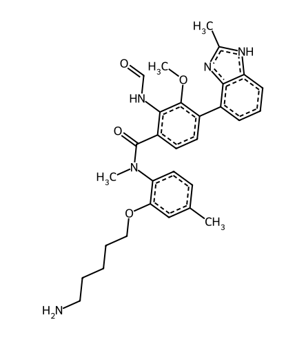 COc1c(-c2cccc3[nH]c(C)nc23)ccc(C(=O)N(C)c2ccc(C)cc2OCCCCCN)c1NC=O